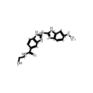 O=C(NCCO)c1ccc2[nH]c(Nc3nc4ccc(OC(F)(F)F)cc4[nH]3)nc2c1